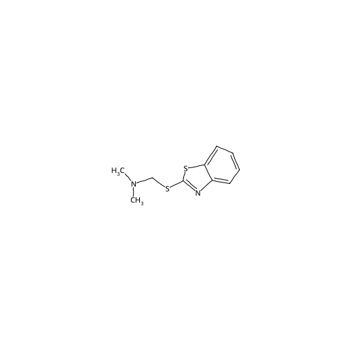 CN(C)CSc1nc2ccccc2s1